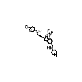 CN1CCC(NCc2ccc3c(c2)cc(C#CCNc2ccc(Cl)nc2)n3CC(F)(F)F)CC1